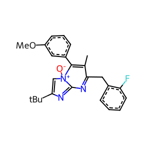 COc1cccc(C2=C(C)C(Cc3ccccc3F)=NC3=NC(C(C)(C)C)=C[N+]32[O-])c1